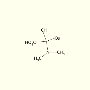 CCC(C)C(C)(C(=O)O)N(C)C